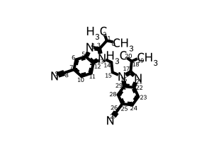 CC(C)c1nc2cc(C#N)ccc2n1CCn1c(C(C)C)nc2ccc(C#N)cc21